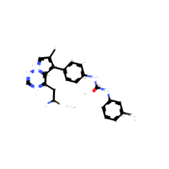 COC(N)Cc1ncnn2cc(C)c(-c3ccc(NC(=O)Nc4cccc([N+](=O)[O-])c4)cc3)c12